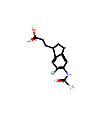 CC(=O)Nc1cc2c(cc1Br)C(CCC(=O)O)CC2